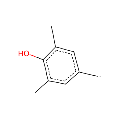 [CH2]c1cc(C)c(O)c(C)c1